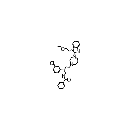 CCOCCn1c(N2CCCN(CCC(CN(C)C(=O)c3ccccc3)c3cccc(Cl)c3)CC2)nc2ccccc21